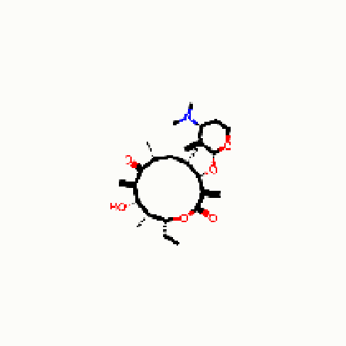 C=C1C(=O)[C@H](C)C[C@H](C)[C@H](O[C@@H]2OCC[C@H](N(C)C)C2=C)C(=C)C(=O)O[C@H](CC)[C@H](C)[C@@H]1O